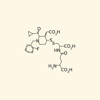 NC(CCC(=O)NC(CSSC1CCN(Cc2ccccc2F)C(C(=O)C2CC2)/C1=C/C(=O)O)C(=O)O)C(=O)O